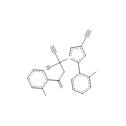 N#Cc1cc(-c2ccccc2F)n(C(C#N)(C#N)CC(=O)c2ccccc2F)c1